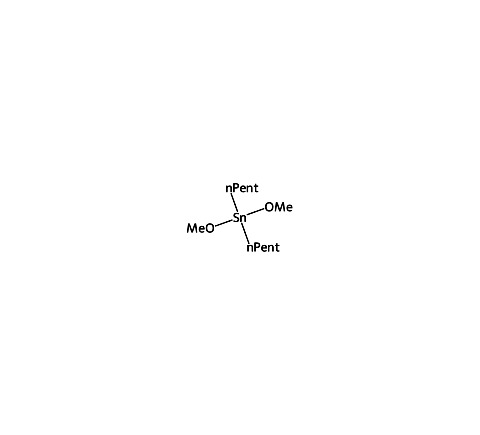 CCCC[CH2][Sn]([CH2]CCCC)([O]C)[O]C